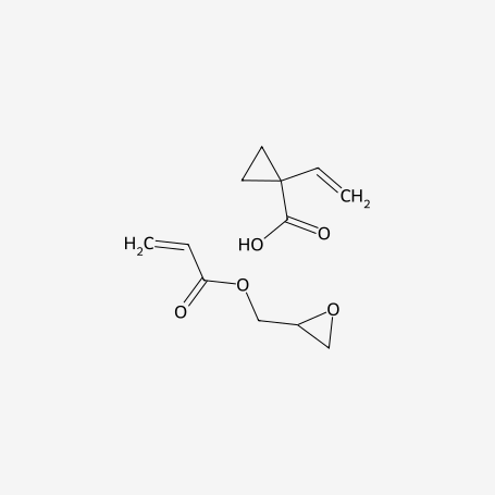 C=CC(=O)OCC1CO1.C=CC1(C(=O)O)CC1